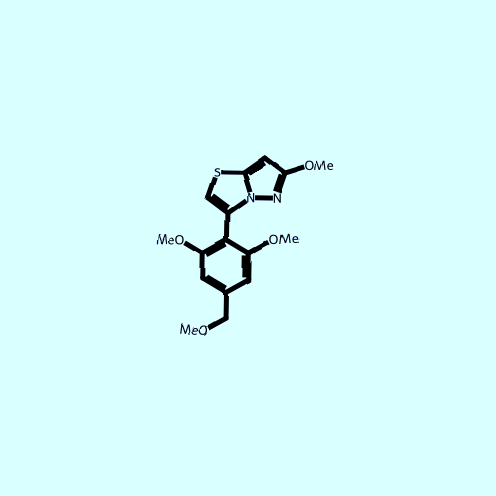 COCc1cc(OC)c(-c2csc3cc(OC)nn23)c(OC)c1